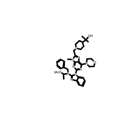 COC(C)N(Cc1ccccc1)c1nc2ccccc2n1-c1nc(N2CCOCC2)c2nc(CN3CCC(C(C)(C)O)CC3)n(C)c2n1